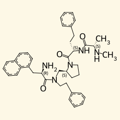 CN[C@@H](C)C(=O)N[C@@H](CCc1ccccc1)C(=O)N1CCC[C@H]1CN(CCc1ccccc1)C(=O)[C@H](N)Cc1cccc2ccccc12